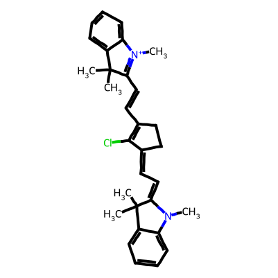 CN1/C(=C/C=C2\CCC(/C=C/C3=[N+](C)c4ccccc4C3(C)C)=C2Cl)C(C)(C)c2ccccc21